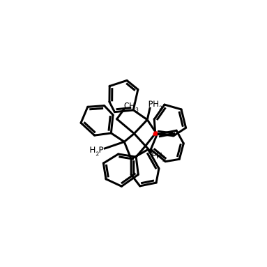 CCC(C(P)(c1ccccc1)c1ccccc1)(C(P)(c1ccccc1)c1ccccc1)C(P)(c1ccccc1)c1ccccc1